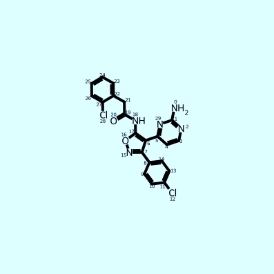 Nc1nccc(-c2c(-c3ccc(Cl)cc3)noc2NC(=O)Cc2ccccc2Cl)n1